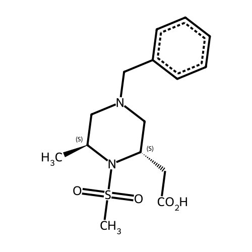 C[C@H]1CN(Cc2ccccc2)C[C@H](CC(=O)O)N1S(C)(=O)=O